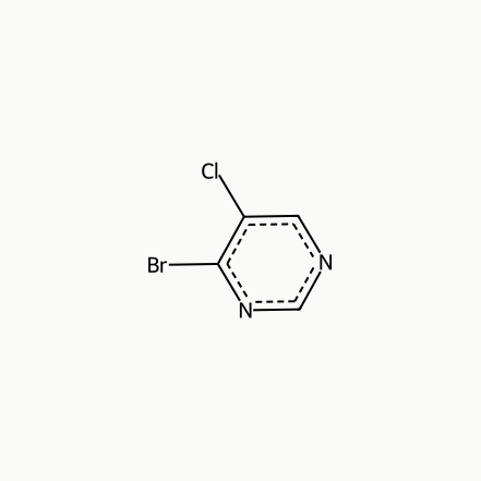 Clc1cncnc1Br